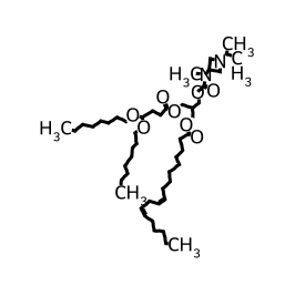 CCCCC/C=C\C/C=C\CCCCCCCC(=O)OCC(COC(=O)CCC(OCCCCCCCC)OCCCCCCCC)COC(=O)N(C)C1CN(C(C)C)C1